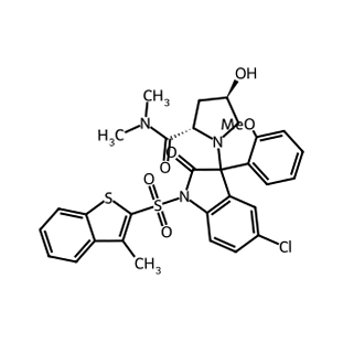 COc1ccccc1C1(N2C[C@H](O)C[C@H]2C(=O)N(C)C)C(=O)N(S(=O)(=O)c2sc3ccccc3c2C)c2ccc(Cl)cc21